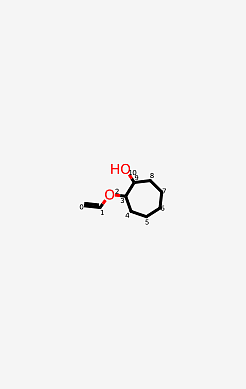 C=COC1CCCCCC1O